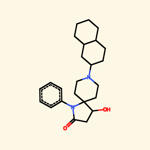 O=C1CC(O)C2(CCN(C3CCC4CCCCC4C3)CC2)N1c1ccccc1